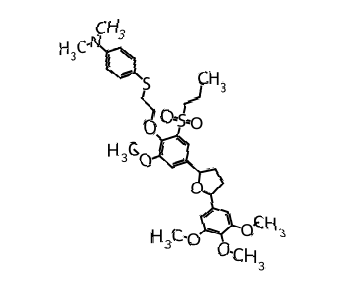 CCCS(=O)(=O)c1cc(C2CCC(c3cc(OC)c(OC)c(OC)c3)O2)cc(OC)c1OCCSc1ccc(N(C)C)cc1